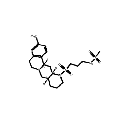 COc1ccc2c(c1)CCN1C[C@H]3CCCN(S(=O)(=O)CCCNS(C)(=O)=O)[C@H]3C[C@@H]21